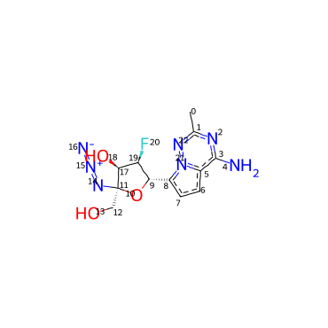 Cc1nc(N)c2ccc([C@@H]3O[C@@](CO)(N=[N+]=[N-])[C@@H](O)[C@H]3F)n2n1